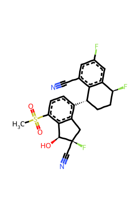 CS(=O)(=O)c1ccc([C@H]2CC[C@H](F)c3cc(F)cc(C#N)c32)c2c1[C@H](O)[C@@](F)(C#N)C2